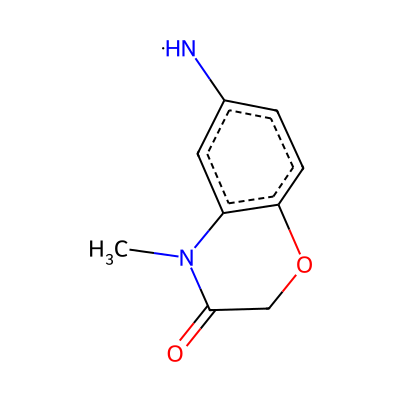 CN1C(=O)COc2ccc([NH])cc21